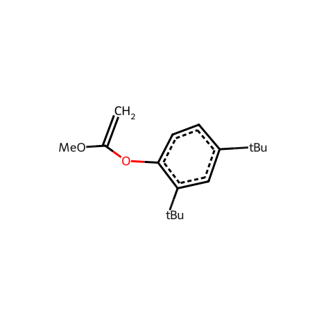 C=C(OC)Oc1ccc(C(C)(C)C)cc1C(C)(C)C